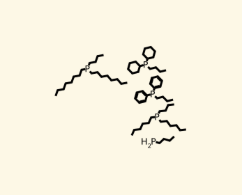 CCCCCCCCP(CCCC)CCCCCCCC.CCCCCCP(CCCC)CCCCCC.CCCCP.CCCCP(C1CCCCC1)C1CCCCC1.CCCCP(c1ccccc1)c1ccccc1